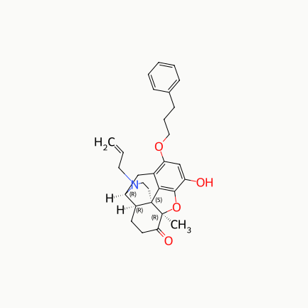 C=CCN1CC[C@]23c4c5c(OCCCc6ccccc6)cc(O)c4O[C@@]2(C)C(=O)CC[C@H]3[C@H]1C5